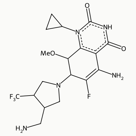 COC1c2c(c(=O)[nH]c(=O)n2C2CC2)C(N)=C(F)C1N1CC(CN)C(C(F)(F)F)C1